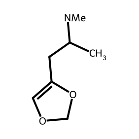 CNC(C)CC1=COCO1